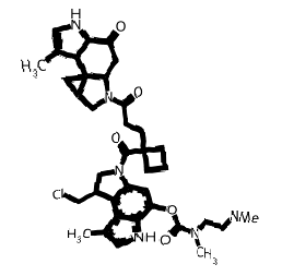 CNCCN(C)C(=O)Oc1cc2c(c3c(C)c[nH]c13)C(CCl)CN2C(=O)C1(CCC(=O)N2CC3CC34C3C(C)=CNC3C(=O)CC24)CCC1